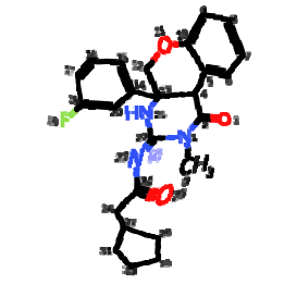 CN1C(=O)C2c3ccccc3OCC2(c2cccc(F)c2)N/C1=N/C(=O)CC1CCCC1